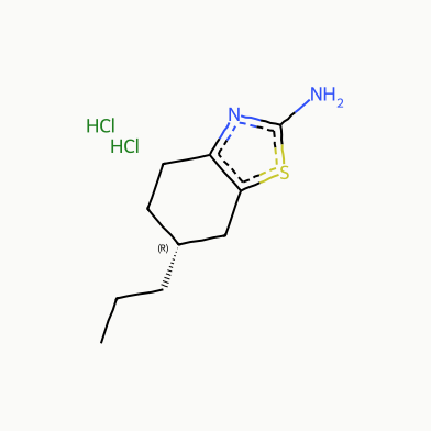 CCC[C@@H]1CCc2nc(N)sc2C1.Cl.Cl